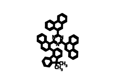 CC1(C)c2ccccc2-c2c(-c3ccc4ccccc4c3-c3nc(-c4cc5ccccc5c5ccccc45)nc(-c4cc5ccccc5c5ccccc45)n3)cccc21